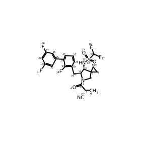 C[C@H](C#N)C(=O)N1CC2(CC2)[C@H](NS(=O)(=O)C(F)F)[C@@H]1Cc1cccc(-c2cc(F)cc(F)c2)c1F